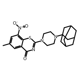 Cc1cc([N+](=O)[O-])c2sc(N3CCN(C45CC6CC(CC(C6)C4)C5)CC3)nc(=O)c2c1